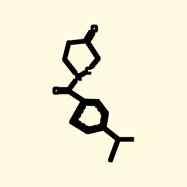 CC(C)c1ccc(C(=O)N2CCC(=O)CC2)cc1